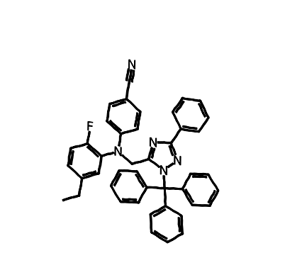 CCc1ccc(F)c(N(Cc2nc(-c3ccccc3)nn2C(c2ccccc2)(c2ccccc2)c2ccccc2)c2ccc(C#N)cc2)c1